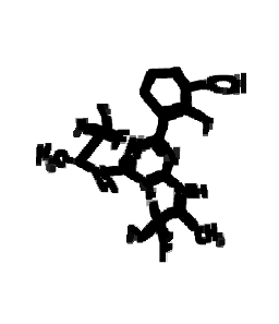 CC(Nc1nc(N[C@H](C)C(F)(F)F)nc(C2=C(F)C(O)CCC2)n1)C(F)(F)F